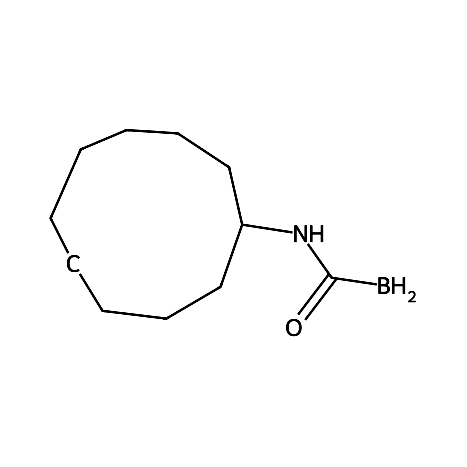 BC(=O)NC1CCCCCCCCC1